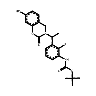 CC(c1cccc(NC(=O)OC(C)(C)C)c1F)N1Cc2ccc(O)cc2OC1=O